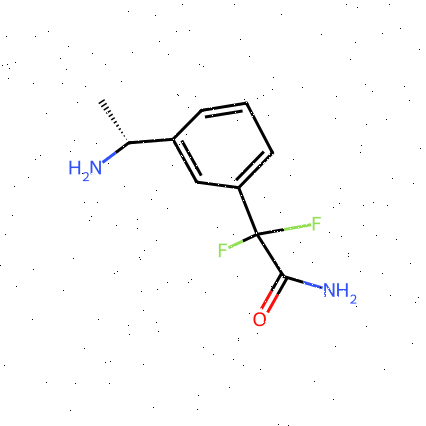 C[C@@H](N)c1cccc(C(F)(F)C(N)=O)c1